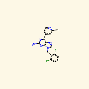 N#Cc1cc(-c2nc(N)nc3c2ncn3Cc2c(F)cccc2F)ccn1